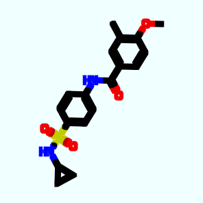 COc1ccc(C(=O)Nc2ccc(S(=O)(=O)NC3CC3)cc2)cc1C